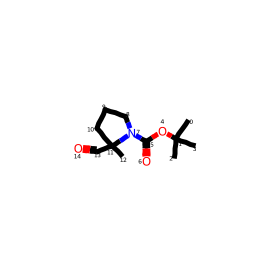 CC(C)(C)OC(=O)N1CCCC1(C)C=O